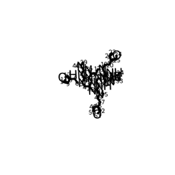 CNC1=NC(CN(CCc2ccoc2)C2=NC(CCN(CCc3ccoc3)C3=NC(C)N=C(N(C)C)N3)N=C(N(C)C)N2)N=C(N(C)CCc2ccoc2)N1